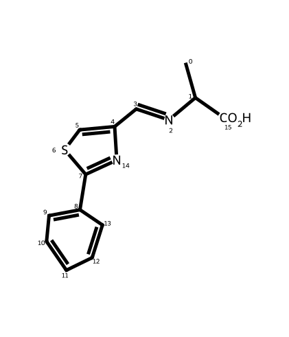 CC(N=Cc1csc(-c2ccccc2)n1)C(=O)O